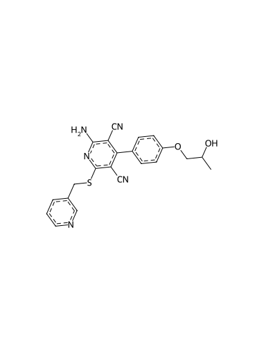 CC(O)COc1ccc(-c2c(C#N)c(N)nc(SCc3cccnc3)c2C#N)cc1